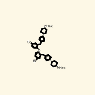 CCCCCC[C@H]1CC[C@H](c2ccc(Cc3cc(Br)ccc3Oc3ccc(Br)cc3Cc3ccc([C@H]4CC[C@H](CCCCCC)CC4)cc3)cc2)CC1